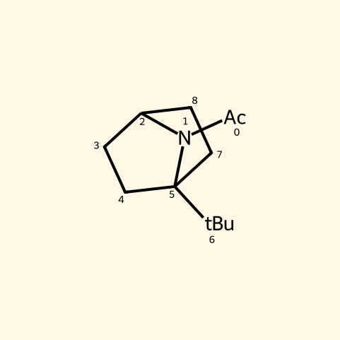 CC(=O)N1C2CCC1(C(C)(C)C)CC2